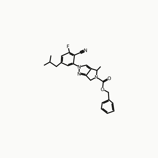 CC(C)Cc1cc(F)c(C#N)c(-n2cc3c(n2)CN(C(=O)OCc2ccccc2)C3C)c1